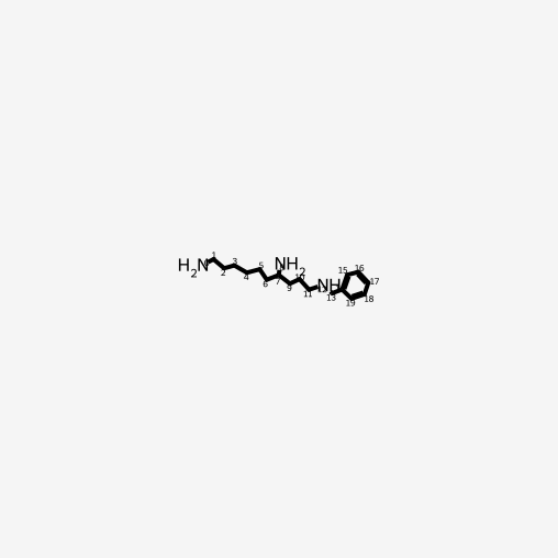 NCCCCCCC(N)CCCNCc1ccccc1